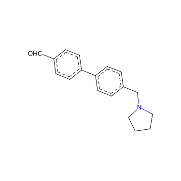 O=Cc1ccc(-c2ccc(CN3CCCC3)cc2)cc1